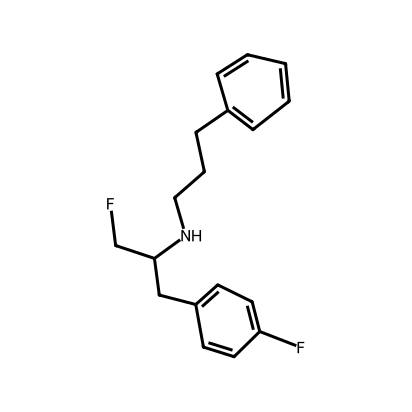 FCC(Cc1ccc(F)cc1)NCCCc1ccccc1